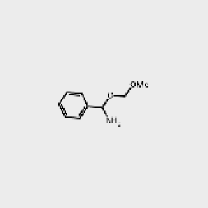 COCOC(N)c1ccccc1